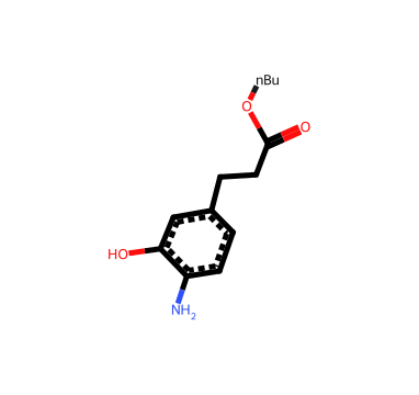 CCCCOC(=O)CCc1ccc(N)c(O)c1